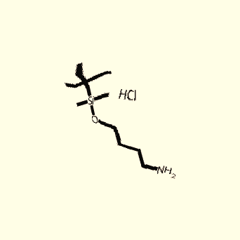 CC(C)(C)[Si](C)(C)OCCCCN.Cl